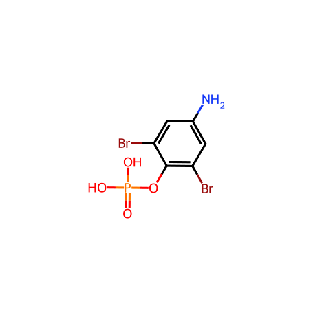 Nc1cc(Br)c(OP(=O)(O)O)c(Br)c1